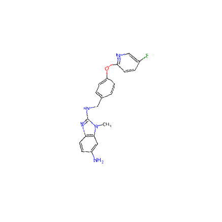 Cn1c(NCc2ccc(Oc3ccc(F)cn3)cc2)nc2ccc(N)cc21